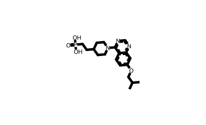 CC(C)COc1ccc2c(N3CCC(CCP(=O)(O)O)CC3)ncnc2c1